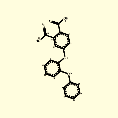 O=C(O)c1ccc(Oc2ccccc2Oc2ccccc2)cc1C(=O)O